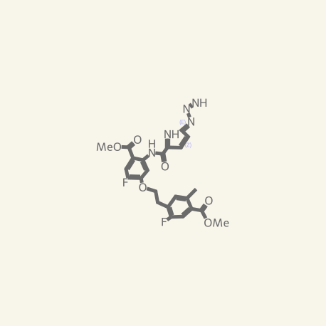 COC(=O)c1cc(F)c(CCOc2cc(NC(=O)C(=N)/C=C\C=N\N=N)c(C(=O)OC)cc2F)cc1C